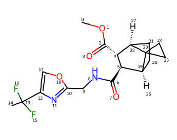 COC(=O)[C@H]1[C@H](C(=O)NCc2nc(C(C)(F)F)co2)[C@@H]2CC[C@H]1C21CC1